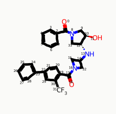 O=C(c1ccccc1)N1C[C@@H](O)[C@H](NC2CN(C(=O)c3ccc(-c4ccccc4)cc3C(F)(F)F)C2)C1